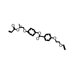 C=COCCOc1ccc(C(=O)Oc2ccc(OC[C@H](C)OC(=O)C=C)cc2)cc1